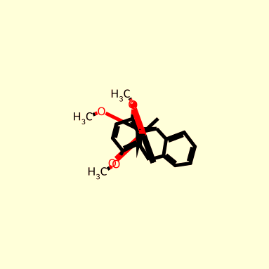 COC1=CC(=O)C2C3c4ccccc4C(c4c(OC)ccc(OC)c43)C2C1=O